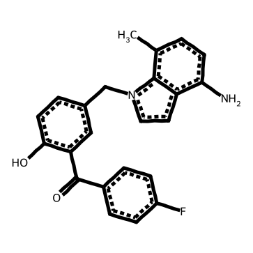 Cc1ccc(N)c2ccn(Cc3ccc(O)c(C(=O)c4ccc(F)cc4)c3)c12